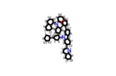 c1ccc(-c2ccc(-n3c4cc(-c5ccc6ccccc6n5)ccc4c4ccc(-c5ccccc5-c5ccccc5N(c5ccccc5)c5cccc6ccccc56)cc43)cc2)cc1